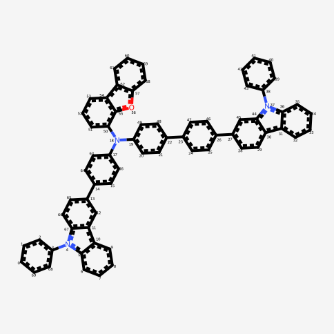 c1ccc(-n2c3ccccc3c3cc(-c4ccc(N(c5ccc(-c6ccc(-c7ccc8c9ccccc9n(-c9ccccc9)c8c7)cc6)cc5)c5cccc6c5oc5ccccc56)cc4)ccc32)cc1